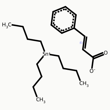 CCC[CH2][Sn+]([CH2]CCC)[CH2]CCC.O=C([O-])/C=C/c1ccccc1